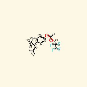 CC(C)=CC1(c2ccc(OC(C)OCC(F)(F)C(F)F)cc2)CC1(C)C